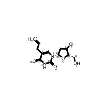 C=CCc1cn([C@@H]2CC(O)[C@H](CO)O2)c(=O)[nH]c1=O